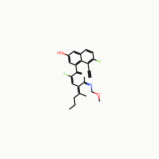 C#Cc1c(F)ccc2cc(O)cc(C(=C)\C(F)=C/C(C(/C)=N\COC)=C(/C)CCC)c12